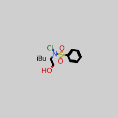 CC[C@H](C)C(CO)N(Cl)S(=O)(=O)c1ccccc1